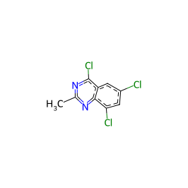 Cc1nc(Cl)c2cc(Cl)cc(Cl)c2n1